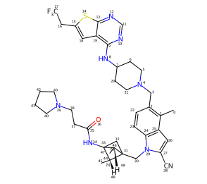 Cc1c(CN2CCC(Nc3ncnc4sc(CC(F)(F)F)cc34)CC2)ccc2c1cc(C#N)n2CC12CC(NC(=O)CCN3CCCC3)([C@H]1C)[C@H]2C